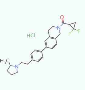 C[C@@H]1CCCN1CCc1ccc(-c2ccc3c(c2)CCN(C(=O)C2CC2(F)F)C3)cc1.Cl